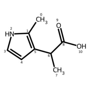 Cc1[nH]ccc1C(C)C(=O)O